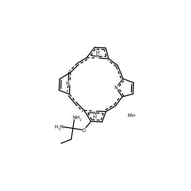 CCC(N)(N)Oc1cc2cc3nc(cc4ccc(cc5nc(cc1[nH]2)C=C5)[nH]4)C=C3.[Mn]